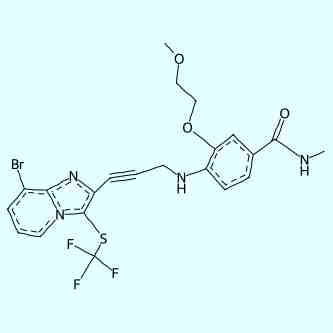 CNC(=O)c1ccc(NCC#Cc2nc3c(Br)cccn3c2SC(F)(F)F)c(OCCOC)c1